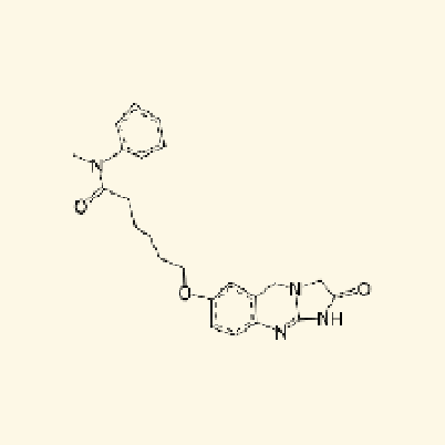 CN(C(=O)CCCCCOc1ccc2c(c1)CN1CC(=O)NC1=N2)c1ccccc1